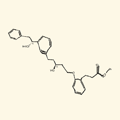 CC(C)OC(=O)CCc1ccccc1OCC[C@@H](O)CCc1cccc([C@H](O)Cc2ccccc2)c1